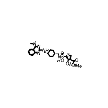 COC(=O)c1csc(S(=O)(=O)NC[C@H]2CC[C@H](CNc3nc(N(C)C)c4ccccc4n3)CC2)c1OC